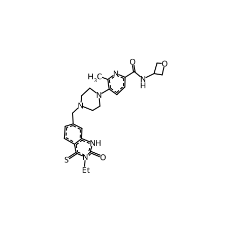 CCn1c(=O)[nH]c2cc(CN3CCN(c4ccc(C(=O)NC5COC5)nc4C)CC3)ccc2c1=S